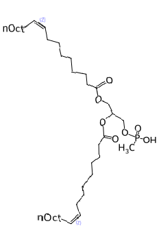 CCCCCCCC/C=C\CCCCCCCC(=O)OCC(COP(C)(=O)O)OC(=O)CCCCCCC/C=C\CCCCCCCC